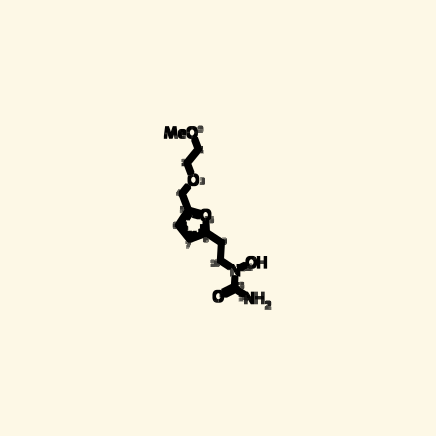 COCCOCc1ccc(CCN(O)C(N)=O)o1